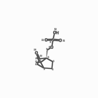 CC1(C)C2CC[C@]1(COS(=O)(=O)O)C(=O)C2